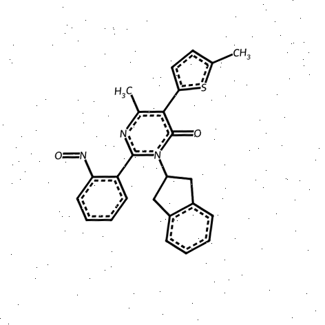 Cc1ccc(-c2c(C)nc(-c3ccccc3N=O)n(C3Cc4ccccc4C3)c2=O)s1